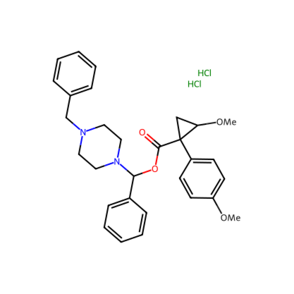 COc1ccc(C2(C(=O)OC(c3ccccc3)N3CCN(Cc4ccccc4)CC3)CC2OC)cc1.Cl.Cl